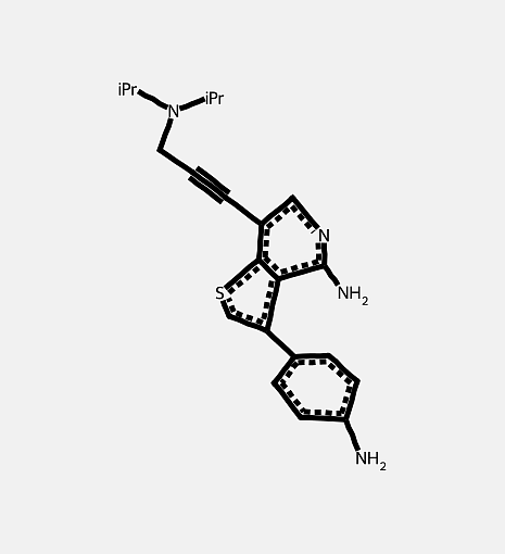 CC(C)N(CC#Cc1cnc(N)c2c(-c3ccc(N)cc3)csc12)C(C)C